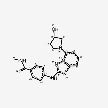 CNC(=O)c1ccc(Nc2nc3cccc(N4CC[C@H](O)C4)n3n2)cc1